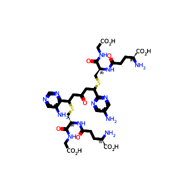 Nc1cnc(C(CC(=O)CC(SC[C@H](NC(=O)CC[C@H](N)C(=O)O)C(=O)NCC(=O)O)c2ncncc2N)SC[C@H](NC(=O)CC[C@@H](N)C(=O)O)C(=O)NCC(=O)O)nc1